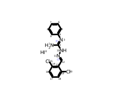 I.N/C(=N\c1ccccc1)N/N=C/c1c(Cl)cccc1Cl